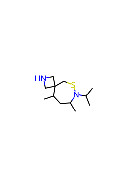 CC(C)N1SCC2(CNC2)C(C)CC1C